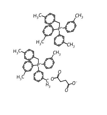 Cc1ccc(C[P+](c2cccc(C)c2)(c2cccc(C)c2)c2cccc(C)c2)cc1.Cc1ccc(C[P+](c2cccc(C)c2)(c2cccc(C)c2)c2cccc(C)c2)cc1.O=C([O-])CCC(=O)[O-]